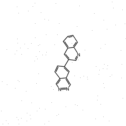 c1ccc2ncc(-c3ccc4cnncc4c3)cc2c1